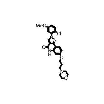 COc1ccc(Cl)c(-n2cc3c(=O)[nH]c4cc(OCCCN5CCOCC5)ccc4c3n2)c1